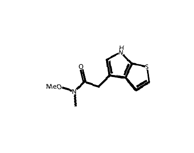 CON(C)C(=O)Cc1c[nH]c2sccc12